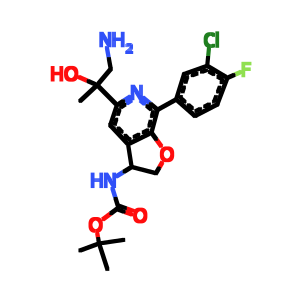 CC(C)(C)OC(=O)NC1COc2c1cc(C(C)(O)CN)nc2-c1ccc(F)c(Cl)c1